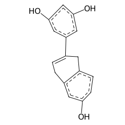 Oc1cc(O)cc(C2=CCc3cc(O)ccc3C2)c1